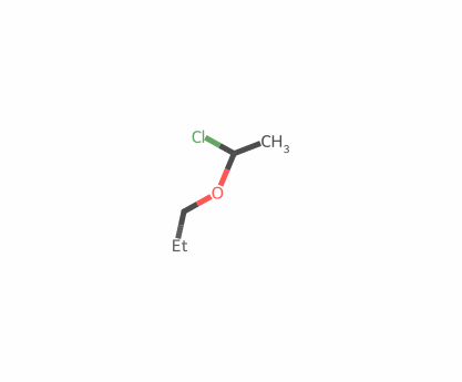 CCCOC(C)Cl